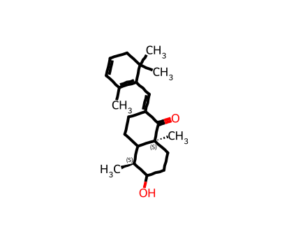 CC1=C(C=C2CCC3[C@H](C)C(O)CC[C@]3(C)C2=O)C(C)(C)CC=C1